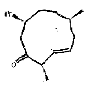 CC(C)[C@H]1CC[C@@H](C)C/C=C/[C@@H](C)C(=O)C1